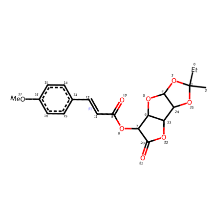 CCC1(C)OC2OC3C(OC(=O)/C=C/c4ccc(OC)cc4)C(=O)OC3C2O1